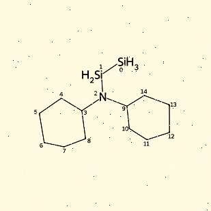 [SiH3][SiH2]N(C1CCCCC1)C1CCCCC1